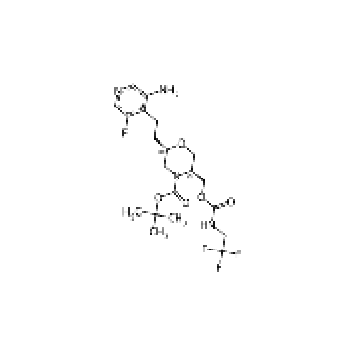 CC(C)(C)OC(=O)N1C[C@@H](CCc2c(N)cncc2F)OC[C@H]1COC(=O)NCC(F)(F)F